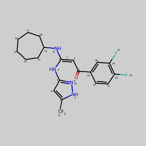 O=C(/C=C(\Nc1cc(C(F)(F)F)[nH]n1)NC1CCCCCC1)c1ccc(F)c(F)c1